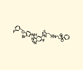 O=S(=O)(CCNCCCc1nc(-c2cc3c(Nc4ccc(OCc5cccc(F)c5)c(Br)c4)ncnc3cc2F)cs1)c1ccccc1